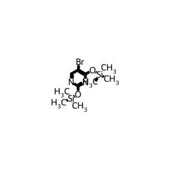 C[Si](C)(C)Oc1ncc(Br)c(O[Si](C)(C)C)n1